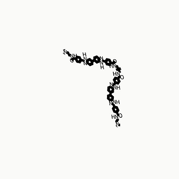 CN(C)CCNC(=O)c1ccc(-c2nc3ccc(-c4ccc5nc(-c6ccc(C(=O)NCC(C)(C)CNC(=O)c7ccc(-c8nc9ccc(-c%10ccc%11nc(-c%12ccc(C(=O)NCCN(C)C)cc%12)[nH]c%11c%10)cc9[nH]8)cc7)cc6)[nH]c5c4)cc3[nH]2)cc1